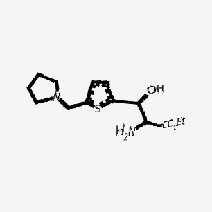 CCOC(=O)C(N)C(O)c1ccc(CN2CCCC2)s1